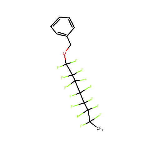 FC(F)(F)C(F)(F)C(F)(F)C(F)(F)C(F)(F)C(F)(F)C(F)(F)C(F)(F)OCc1ccccc1